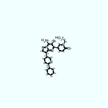 Nc1c(Br)c(-c2ccc(=O)n(CC(=O)O)c2)nc2c(-c3ccc(-c4ccccc4)nc3)cnn12